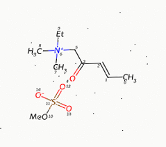 CC=CC(=O)C[N+](C)(C)CC.COS(=O)(=O)[O-]